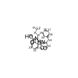 CC(C)CCN(C[C@@]1(C(=O)NC(C=O)Cc2ccccc2)C=CC=CC1)C(=O)O